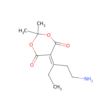 CCC(CCN)=C1C(=O)OC(C)(C)OC1=O